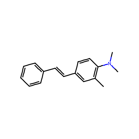 Cc1cc(C=Cc2ccccc2)ccc1N(C)C